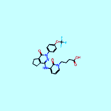 O=C(O)CCCn1cccc(Nc2nn(-c3ccc(OC(F)(F)F)cc3)c(=O)c3c2CCC3)c1=O